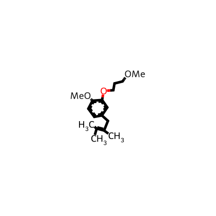 COCCCOc1cc(CC(C)=C(C)C)ccc1OC